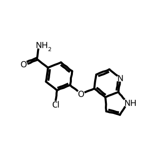 NC(=O)c1ccc(Oc2ccnc3[nH]ccc23)c(Cl)c1